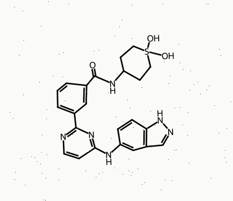 O=C(NC1CCS(O)(O)CC1)c1cccc(-c2nccc(Nc3ccc4[nH]ncc4c3)n2)c1